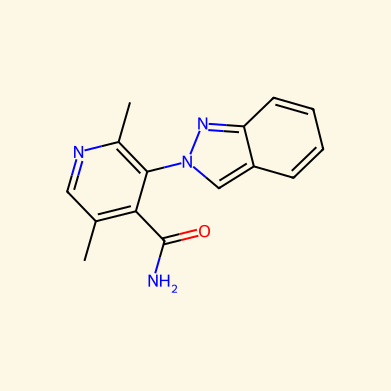 Cc1cnc(C)c(-n2cc3ccccc3n2)c1C(N)=O